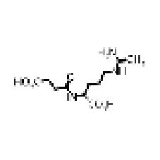 C=C(N)NCCC[C@H](NC(=O)CCC(=O)O)C(=O)O